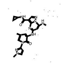 CNc1cc(Nc2cc(C)cn(-c3ccn(C)n3)c2=O)nc2c(C(=O)NC3CC3)cnn12